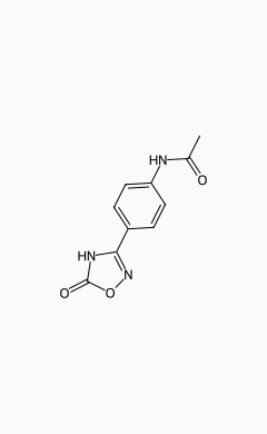 CC(=O)Nc1ccc(-c2noc(=O)[nH]2)cc1